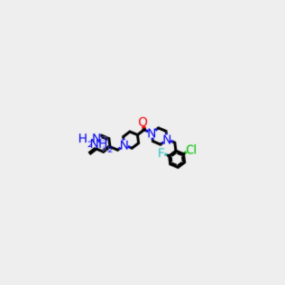 C=C(N)/C=C(\C=C/N)CN1CCC(C(=O)N2CCN(Cc3c(F)cccc3Cl)CC2)CC1